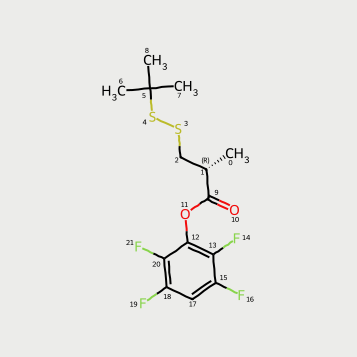 C[C@@H](CSSC(C)(C)C)C(=O)Oc1c(F)c(F)cc(F)c1F